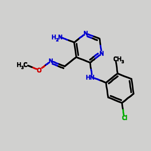 CON=Cc1c(N)ncnc1Nc1cc(Cl)ccc1C